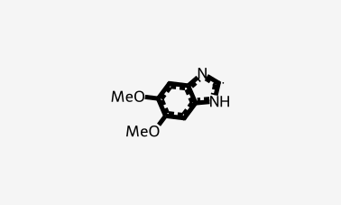 COc1cc2n[c][nH]c2cc1OC